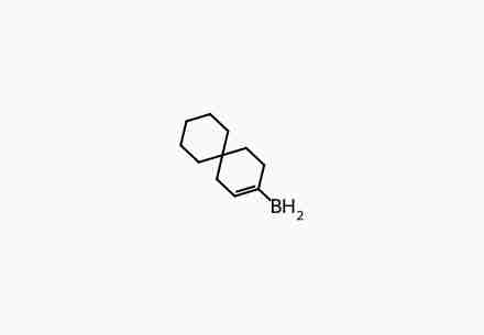 BC1=CCC2(CCCCC2)CC1